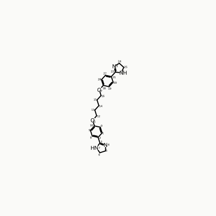 c1cc(C2=NCCN2)ccc1OCCCCCOc1ccc(C2=NCCN2)cc1